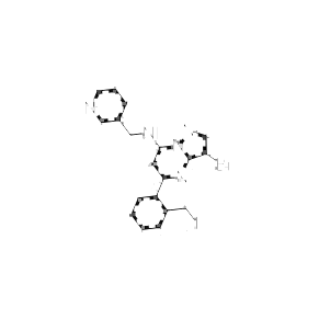 Brc1cnn2c(NCc3cccnc3)cc(-c3ccccc3CI)nc12